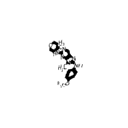 Cn1c(Nc2ccc(OC(F)(F)F)cc2)nc2cnc(NC3(C)CCOCC3)nc21